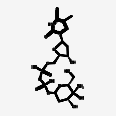 Cc1cn([C@H]2C[C@H](O)[C@@H](COP(=O)(O)OP(=O)(O)O[C@@H]3C[C@@H](O)[C@](N)(O)[C@@H](CO)O3)O2)c(=O)[nH]c1=O